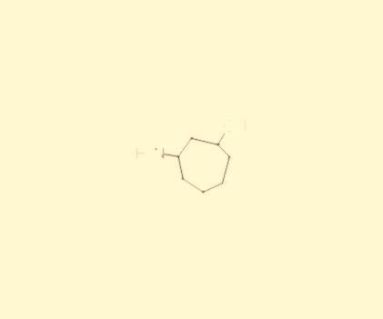 NC1CCCCC(O)C1